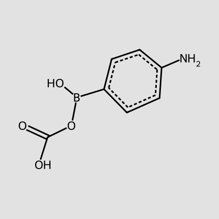 Nc1ccc(B(O)OC(=O)O)cc1